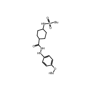 CCCCOc1ccc(NNC(=O)C2CCC(NS(=O)(=O)C(C)(C)C)CC2)cc1